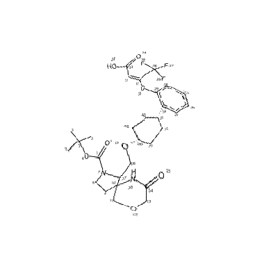 CC(C)(C)OC(=O)N1CCC2(COCC(=O)N2)C1CO[C@H]1CC[C@@H](c2ccccc2O/C(=C/C(=O)O)C(F)(F)F)CC1